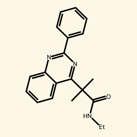 CCNC(=O)C(C)(C)c1nc(-c2ccccc2)nc2ccccc12